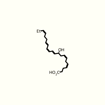 CC/C=C\CC/C=C/C=C\C=C\[C@@H](O)C/C=C\C/C=C\CCC(=O)O